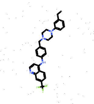 CCc1cccc(N2CCN(Cc3ccc(Nc4ccnc5cc(C(F)(F)F)ccc45)cc3)CC2)c1